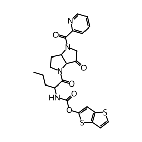 CCCC(NC(=O)Oc1cc2sccc2s1)C(=O)N1CCC2C1C(=O)CN2C(=O)c1ccccn1